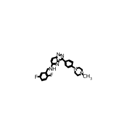 CN1CCN(c2ccc(-c3nnc4ccc(NCc5cc(F)ccc5F)nn34)cc2)CC1